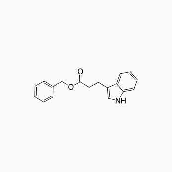 O=C(CCc1c[nH]c2ccccc12)OCc1ccccc1